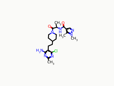 Cc1nc(N)c(CCC2CCN(C(=O)C(C)NC(=O)c3cnn(C)c3C)CC2)c(Cl)n1